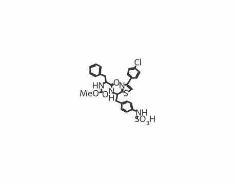 COC(=O)NC(Cc1ccccc1)C(=O)NC(Cc1ccc(NS(=O)(=O)O)cc1)c1nc(-c2ccc(Cl)cc2)cs1